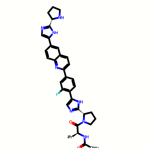 COC(=O)N[C@H](C(=O)N1CCC[C@H]1c1ncc(-c2ccc(-c3ccc4cc(-c5cnc([C@@H]6CCCN6)[nH]5)ccc4n3)cc2F)[nH]1)C(C)C